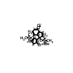 CC(C)(C)[Si](C)(C)Oc1cccc2c1C(O[Si](C)(C)C(C)(C)C)(C1=[C]([Zr+2])CC=C1)C=C2.[Cl-].[Cl-]